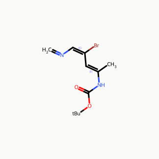 C=N/C=C(Br)\C=C(/C)NC(=O)OC(C)(C)C